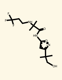 CC(C)(NCCC(F)(F)F)C(=O)Nc1cc(C(C)(C)CO)no1